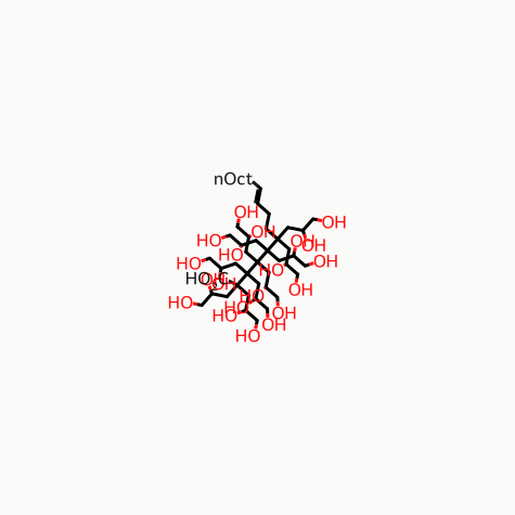 CCCCCCCCC=CCCC(CC(O)CO)(CC(O)CO)C(CC(O)CO)(CC(O)CO)C(CC(O)CO)(CC(O)CO)C(CC(O)CO)(CC(O)CO)C(CC(O)CO)(CC(O)CO)C(=O)O